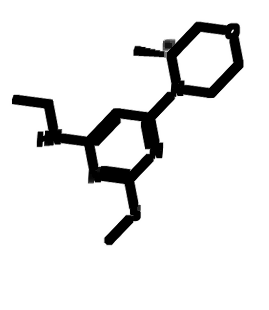 CCNc1cc(N2CCOC[C@H]2C)nc(SC)n1